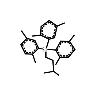 Cc1ccc(C)[c]([Sn]([CH2]CC(C)C)([c]2cc(C)ccc2C)[c]2cc(C)ccc2C)c1